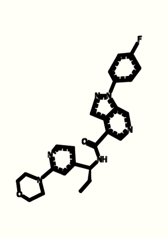 CC[C@H](NC(=O)c1cncc2c1cnn2-c1ccc(F)cc1)c1ccnc(N2CCOCC2)c1